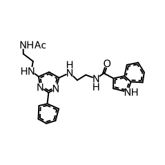 CC(=O)NCCNc1cc(NCCNC(=O)c2c[nH]c3ccccc23)nc(-c2ccccc2)n1